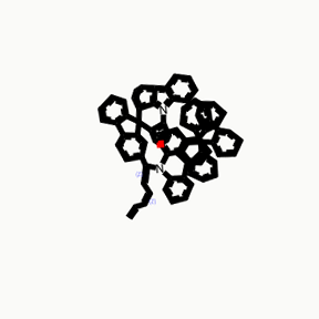 C=C/C=C\C=C(\c1ccc2c(c1)C1(c3ccccc3-2)c2ccccc2-n2c3ccccc3c3cccc1c32)N(c1ccccc1-c1ccc(-c2ccccc2)cc1)c1cccc2c1-c1ccccc1C21c2ccccc2-c2ccccc21